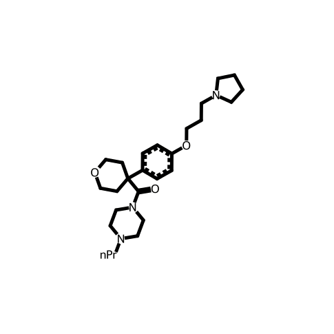 CCCN1CCN(C(=O)C2(c3ccc(OCCCN4CCCC4)cc3)CCOCC2)CC1